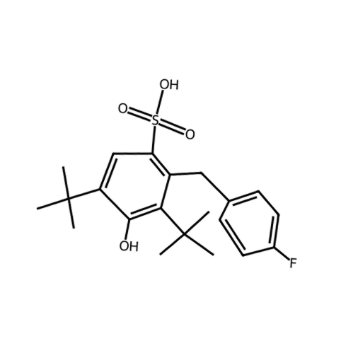 CC(C)(C)c1cc(S(=O)(=O)O)c(Cc2ccc(F)cc2)c(C(C)(C)C)c1O